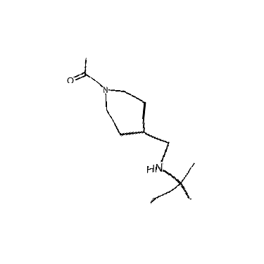 CC(=O)N1CCC(CNC(C)(C)C)CC1